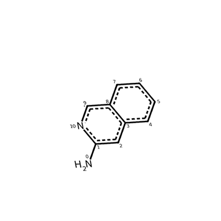 Nc1cc2ccccc2[c]n1